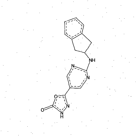 O=c1[nH]nc(-c2cnc(NC3Cc4ccccc4C3)nc2)o1